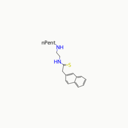 CCCCCNCCNC(=S)Cc1ccc2ccccc2c1